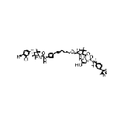 Cc1ncsc1-c1ccc([C@H](C)NC(=O)[C@@H]2C[C@@H](O)CN2C(=O)[C@@H](NC(=O)COCCCCC#Cc2ccc(NC(=O)NC3C(C)(C)C(Oc4ccc(C#N)c(Cl)c4)C3(C)C)cc2)C(C)(C)C)cc1